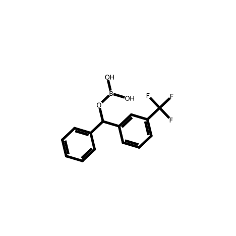 OB(O)OC(c1ccccc1)c1cccc(C(F)(F)F)c1